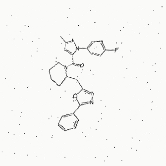 Cc1cc(C(=O)N2CCCCC2Cc2nnc(-c3ccccc3)o2)n(-c2ccc(F)cc2)n1